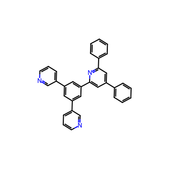 c1ccc(-c2cc(-c3ccccc3)nc(-c3cc(-c4cccnc4)cc(-c4cccnc4)c3)c2)cc1